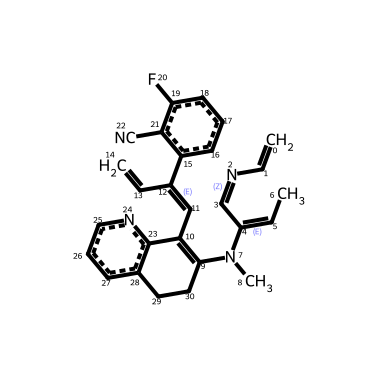 C=C/N=C\C(=C/C)N(C)C1=C(/C=C(\C=C)c2cccc(F)c2C#N)c2ncccc2CC1